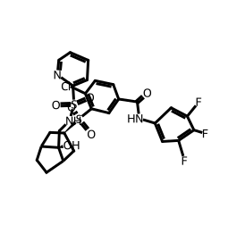 O=C(Nc1cc(F)c(F)c(F)c1)c1ccc(Cl)c(S(=O)(=O)[C@H]2CC3CCC(C2)[C@]3(O)CNS(=O)(=O)c2ccccn2)c1